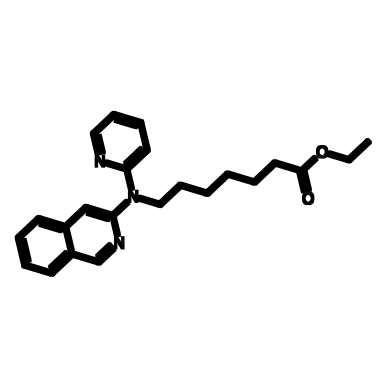 CCOC(=O)CCCCCCN(c1ccccn1)c1cc2ccccc2cn1